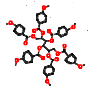 COc1ccc(C(=O)OCC(OC(=O)c2ccc(OC)cc2)C(OC(=O)c2ccc(OC)cc2)C(OC(=O)c2ccc(OC)cc2)C(COC(=O)c2ccc(OC)cc2)OC(=O)c2ccc(OC)cc2)cc1